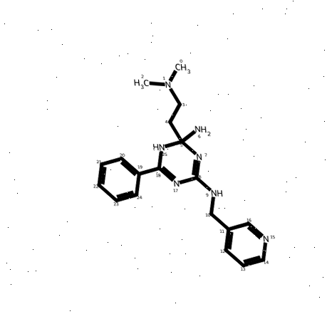 CN(C)CCC1(N)N=C(NCc2cccnc2)N=C(c2ccccc2)N1